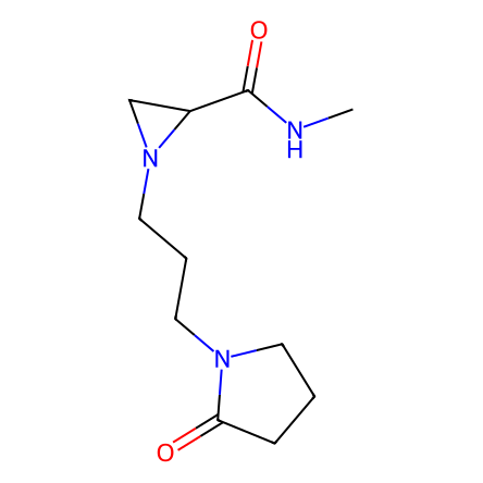 CNC(=O)C1CN1CCCN1CCCC1=O